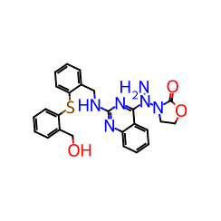 NN(c1nc(NCc2ccccc2Sc2ccccc2CO)nc2ccccc12)N1CCOC1=O